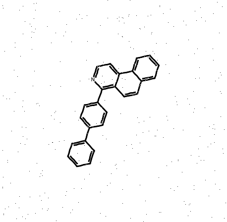 c1ccc(-c2ccc(-c3nccc4c3ccc3ccccc34)cc2)cc1